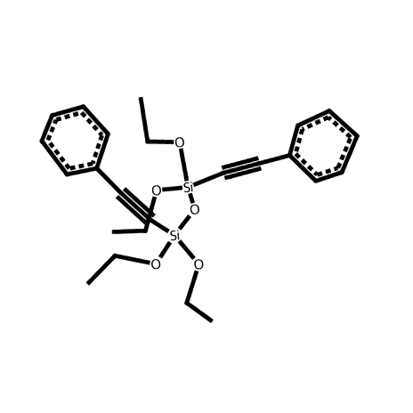 CCO[Si](C#Cc1ccccc1)(OCC)O[Si](C#Cc1ccccc1)(OCC)OCC